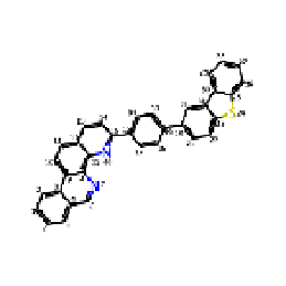 c1ccc2c(c1)cnc1c2ccc2ccc(-c3ccc(-c4ccc5sc6ccccc6c5c4)cc3)nc21